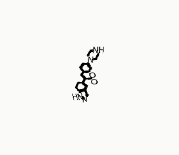 O=c1oc2cc(N3CCNCC3)ccc2cc1-c1ccc2[nH]ncc2c1